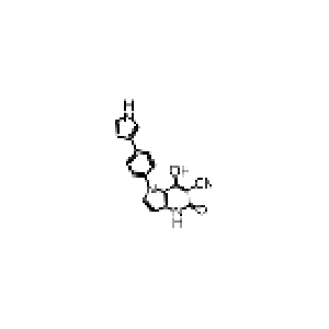 N#Cc1c(O)c2c(ccn2-c2ccc(-c3cc[nH]c3)cc2)[nH]c1=O